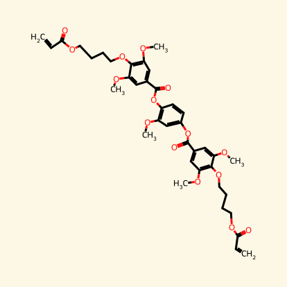 C=CC(=O)OCCCCOc1c(OC)cc(C(=O)Oc2ccc(OC(=O)c3cc(OC)c(OCCCCOC(=O)C=C)c(OC)c3)c(OC)c2)cc1OC